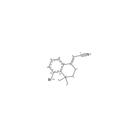 CC1(C)CCC(=CC#N)c2cccc(Br)c21